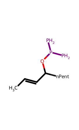 C/C=C/C(CCCCC)OP(P)P